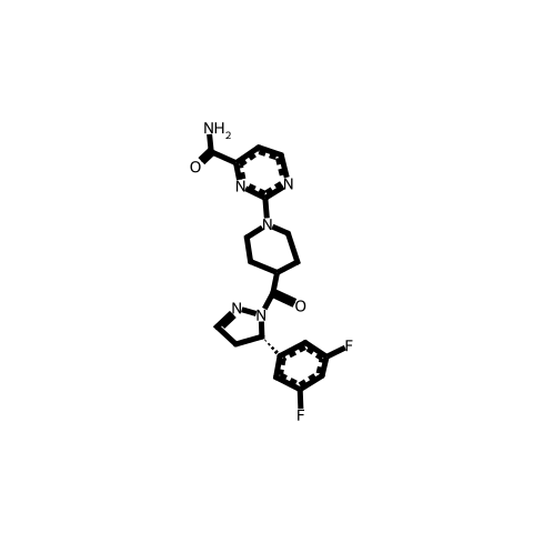 NC(=O)c1ccnc(N2CCC(C(=O)N3N=CC[C@H]3c3cc(F)cc(F)c3)CC2)n1